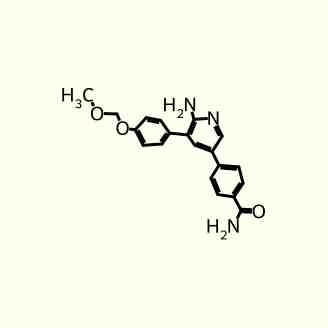 COCOc1ccc(-c2cc(-c3ccc(C(N)=O)cc3)cnc2N)cc1